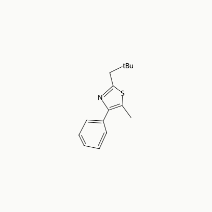 Cc1sc(CC(C)(C)C)nc1-c1ccccc1